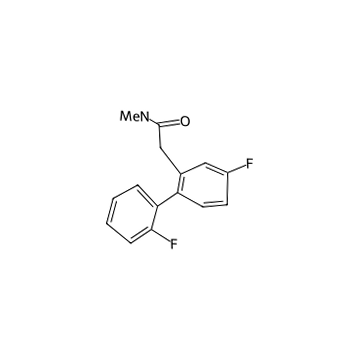 CNC(=O)Cc1cc(F)ccc1-c1ccccc1F